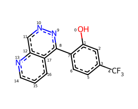 Oc1cc(C(F)(F)F)ccc1-c1nncc2ncccc12